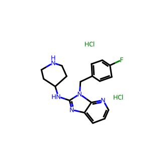 Cl.Cl.Fc1ccc(Cn2c(NC3CCNCC3)nc3cccnc32)cc1